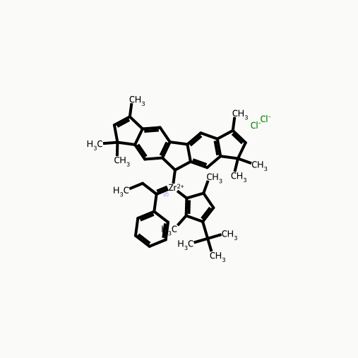 CC/[C](c1ccccc1)=[Zr+2](/[C]1=C(C)C(C(C)(C)C)=CC1C)[CH]1c2cc3c(cc2-c2cc4c(cc21)C(C)(C)C=C4C)C(C)=CC3(C)C.[Cl-].[Cl-]